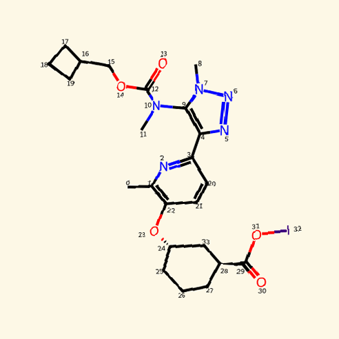 Cc1nc(-c2nnn(C)c2N(C)C(=O)OCC2CCC2)ccc1O[C@H]1CCC[C@H](C(=O)OI)C1